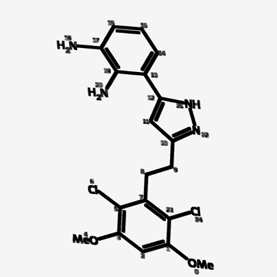 COc1cc(OC)c(Cl)c(CCc2cc(-c3cccc(N)c3N)[nH]n2)c1Cl